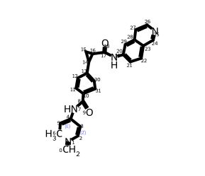 C=N/C=C\C(=C/C)NC(=O)c1ccc(C2CC2C(=O)Nc2ccc3cnccc3c2)cc1